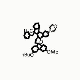 CCCCOc1ccc(C2(c3ccc(OC)cc3)C=Cc3c4c(c5cc(N6CCOCC6)ccc5c3O2)-c2ccccc2C4(C)Cc2ccccc2)cc1